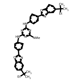 CCC(C)(C)c1ccc2oc(-c3ccc(Nc4nc(NC)nc(Nc5ccc(-c6nc7cc(C(C)(C)CC)ccc7o6)cc5)n4)cc3)nc2c1